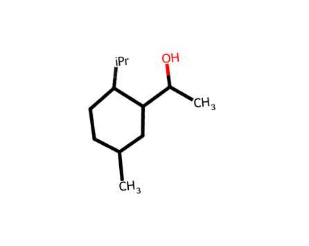 CC1CCC(C(C)C)C(C(C)O)C1